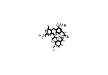 CCCC(CO)Nc1nc(N)nc(C)c1Cc1ccc(CC(=O)OCC2CCN(CI)CC2)cc1OC